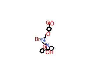 COC(=O)c1ccc(OCCC[N+](C)(C)Cc2cnc([C@](O)(c3ccccc3)C3CCCCC3)o2)cc1.[Br-]